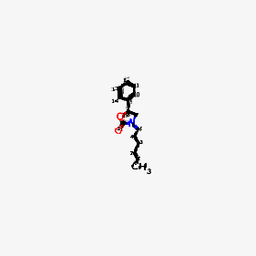 CCCCCCN1CC(c2ccccc2)OC1=O